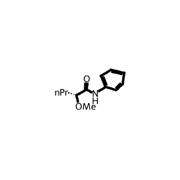 CCC[C@@H](OC)C(=O)Nc1ccccc1